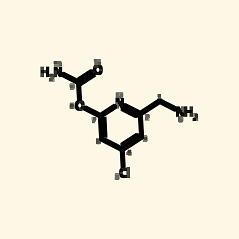 NCc1cc(Cl)cc(OC(N)=O)n1